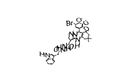 COc1cc(C2C3=C(CC(C)(C)CC3=O)Nc3c(C(=O)NNC(=O)Cc4c[nH]c5ccccc45)cnn32)cc(Br)c1OC